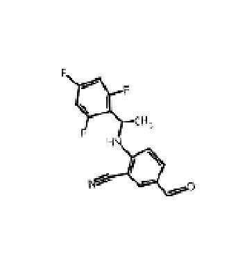 C[C@@H](Nc1ccc(C=O)cc1C#N)c1c(F)cc(F)cc1F